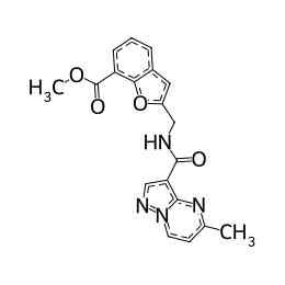 COC(=O)c1cccc2cc(CNC(=O)c3cnn4ccc(C)nc34)oc12